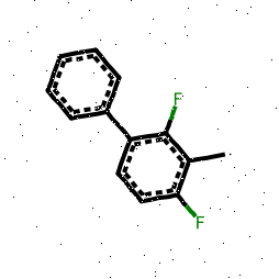 [CH2]c1c(F)ccc(-c2ccccc2)c1F